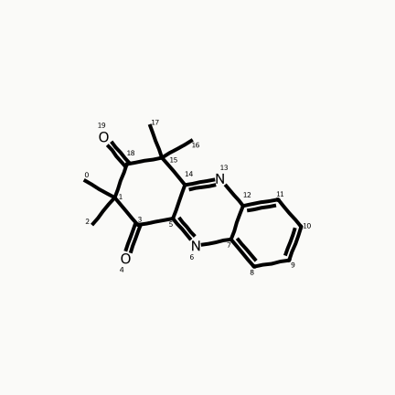 CC1(C)C(=O)c2nc3ccccc3nc2C(C)(C)C1=O